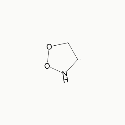 [CH]1COON1